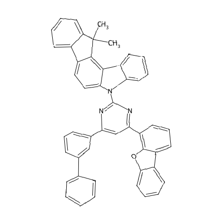 CC1(C)c2ccccc2-c2ccc3c(c21)c1ccccc1n3-c1nc(-c2cccc(-c3ccccc3)c2)cc(-c2cccc3c2oc2ccccc23)n1